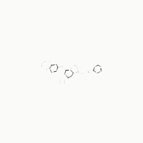 Brc1cc(Cc2ccc3c(c2)OCCO3)c2c(c1)C(COCc1ccccc1)CO2